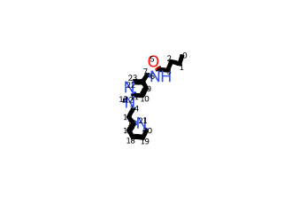 CCCCC(=O)NCc1ccc(N(C)CCc2ccccn2)nc1